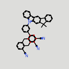 CC1(C)c2ccccc2-c2cc3c4ccccc4n(-c4cccc(-c5cc(C#N)cc6c5C5c7cccc(C#N)c7C6c6c(C#N)cccc65)c4)c3cc21